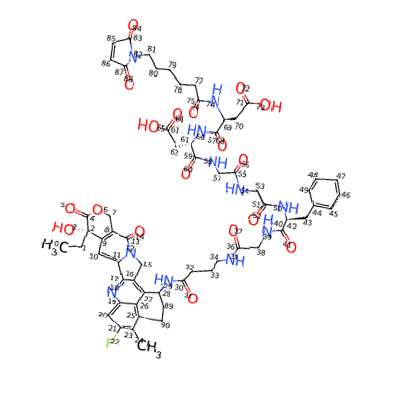 CC[C@@]1(O)C(=O)OCc2c1cc1n(c2=O)Cc2c-1nc1cc(F)c(C)c3c1c2[C@@H](NC(=O)CCCNC(=O)CNC(=O)[C@H](Cc1ccccc1)NC(=O)CNC(=O)CNC(=O)[C@H](CC(=O)O)NC(=O)[C@H](CC(=O)O)NC(=O)CCCCCN1C(=O)C=CC1=O)CC3